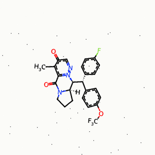 Cc1c2n(ncc1=O)[C@@H]([C@H](c1ccc(F)cc1)c1ccc(OC(F)(F)F)cc1)[C@H]1CCCN1C2=O